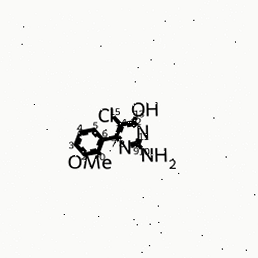 COc1ccccc1-c1nc(N)nc(O)c1Cl